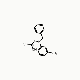 Cc1cccc(N(Cc2ccccc2)C[C@@H](O)C(F)(F)F)c1